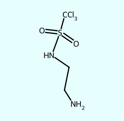 NCCNS(=O)(=O)C(Cl)(Cl)Cl